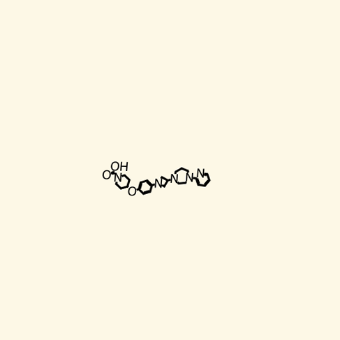 O=C(O)N1CCC(Oc2ccc(N3CC(N4CCCN(c5ccccn5)CC4)C3)cc2)CC1